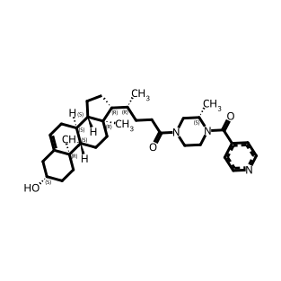 C[C@H](CCC(=O)N1CCN(C(=O)c2ccncc2)[C@@H](C)C1)[C@H]1CC[C@H]2[C@@H]3CC=C4C[C@@H](O)CC[C@]4(C)[C@H]3CC[C@]12C